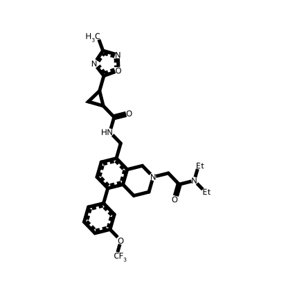 CCN(CC)C(=O)CN1CCc2c(-c3cccc(OC(F)(F)F)c3)ccc(CNC(=O)C3CC3c3nc(C)no3)c2C1